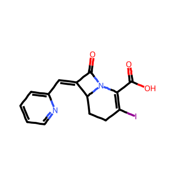 O=C(O)C1=C(I)CCC2/C(=C\c3ccccn3)C(=O)N12